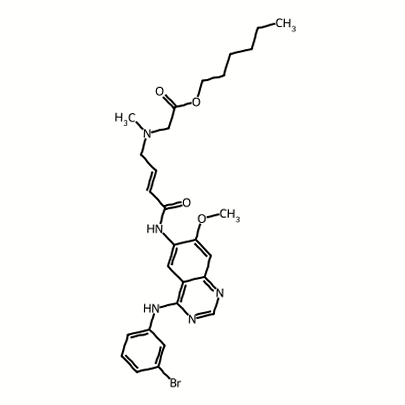 CCCCCCOC(=O)CN(C)CC=CC(=O)Nc1cc2c(Nc3cccc(Br)c3)ncnc2cc1OC